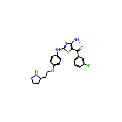 Nc1nc(Nc2ccc(OCCC3CCCN3)cc2)sc1C(=O)c1cccc(F)c1